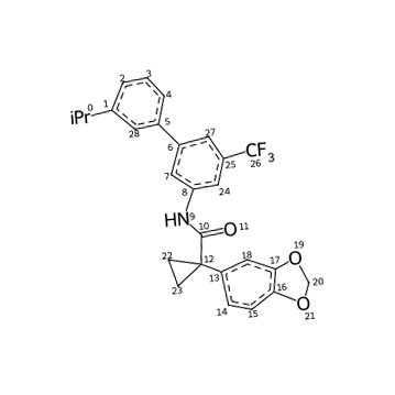 CC(C)c1cccc(-c2cc(NC(=O)C3(c4ccc5c(c4)OCO5)CC3)cc(C(F)(F)F)c2)c1